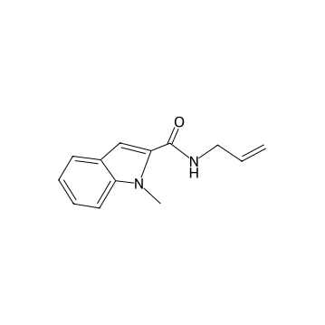 C=CCNC(=O)c1cc2ccccc2n1C